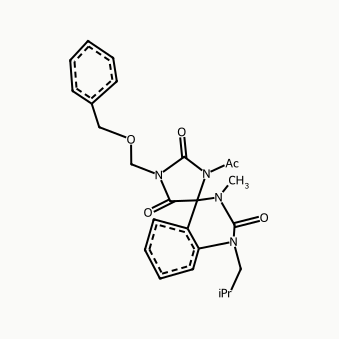 CC(=O)N1C(=O)N(COCc2ccccc2)C(=O)C12c1ccccc1N(CC(C)C)C(=O)N2C